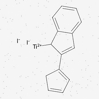 [I-].[I-].[Ti+2][CH]1C(C2=CC=CC2)=Cc2ccccc21